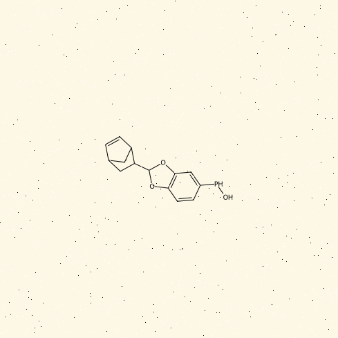 OPc1ccc2c(c1)OC(C1CC3C=CC1C3)O2